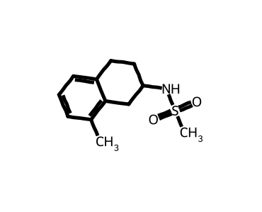 Cc1cccc2c1CC(NS(C)(=O)=O)CC2